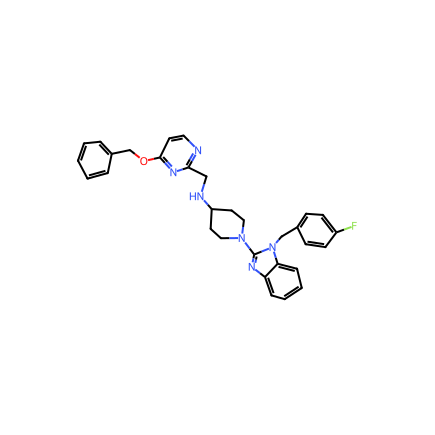 Fc1ccc(Cn2c(N3CCC(NCc4nccc(OCc5ccccc5)n4)CC3)nc3ccccc32)cc1